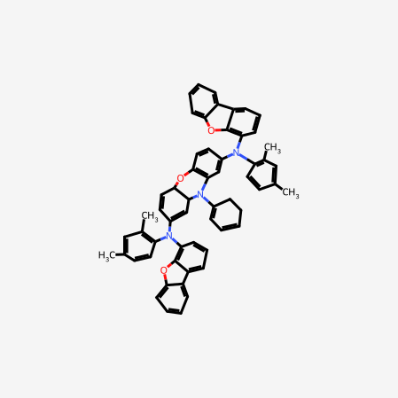 Cc1ccc(N(C2=CC3C(C=C2)Oc2ccc(N(c4ccc(C)cc4C)c4cccc5c4oc4ccccc45)cc2N3C2=CC=CCC2)c2cccc3c2oc2ccccc23)c(C)c1